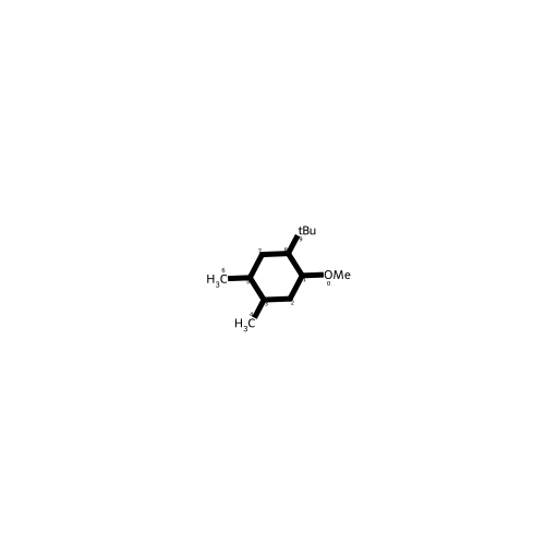 COC1CC(C)C(C)CC1C(C)(C)C